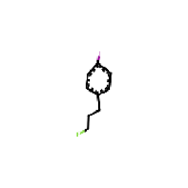 FCC[CH]c1ccc(I)cc1